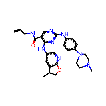 C=CCNC(=O)c1cnc(Nc2ccc(N3CCN(C)CC3)cc2)nc1Nc1cnc2c(c1)C(C)CO2